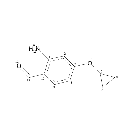 Nc1cc(OC2CC2)ccc1C=O